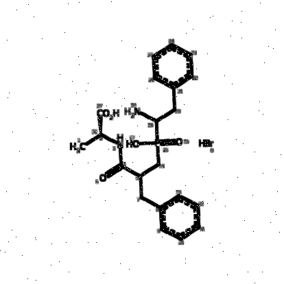 Br.C[C@H](NC(=O)C(Cc1ccccc1)CP(=O)(O)C(N)Cc1ccccc1)C(=O)O